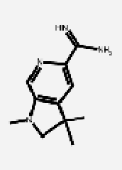 CN1CC(C)(C)c2cc(C(=N)N)ncc21